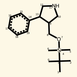 CC(C)(C)[Si](C)(C)OCC1CNCC1c1ccccc1